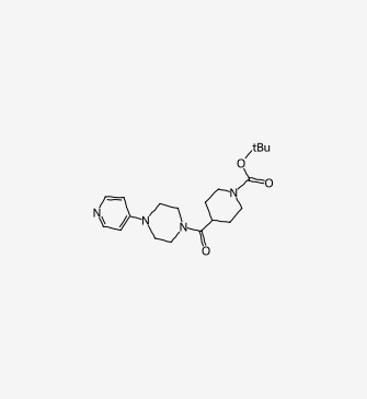 CC(C)(C)OC(=O)N1CCC(C(=O)N2CCN(c3ccncc3)CC2)CC1